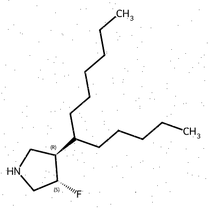 CCCCCCC(CCCCC)[C@@H]1CNC[C@H]1F